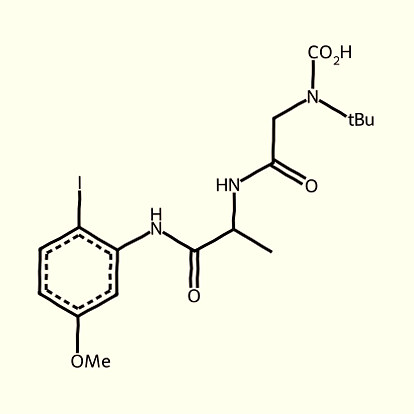 COc1ccc(I)c(NC(=O)C(C)NC(=O)CN(C(=O)O)C(C)(C)C)c1